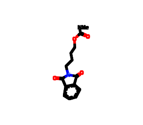 CNC(=O)OCCCCN1C(=O)c2ccccc2C1=O